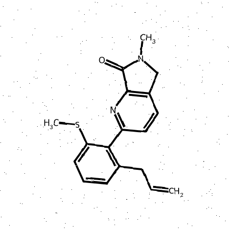 C=CCc1cccc(SC)c1-c1ccc2c(n1)C(=O)N(C)C2